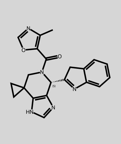 Cc1ncoc1C(=O)N1CC2(CC2)c2[nH]cnc2[C@H]1C1=Nc2ccccc2C1